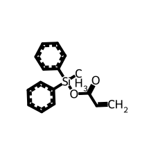 C=CC(=O)O[Si](C)(c1ccccc1)c1ccccc1